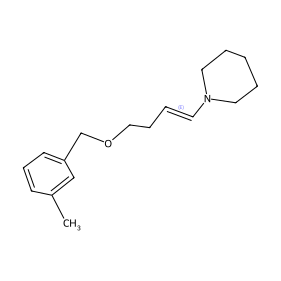 Cc1cccc(COCC/C=C/N2CCCCC2)c1